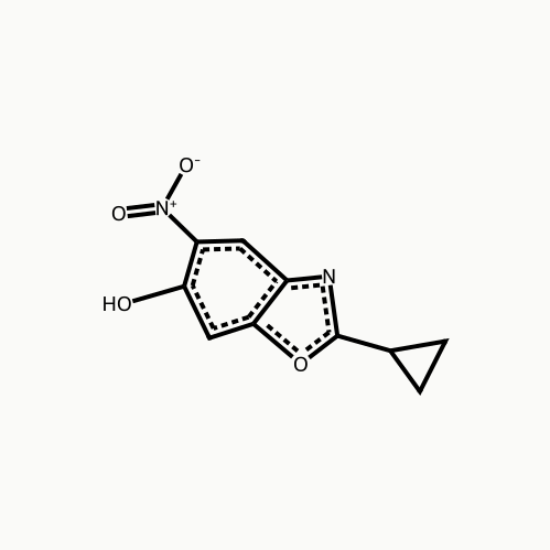 O=[N+]([O-])c1cc2nc(C3CC3)oc2cc1O